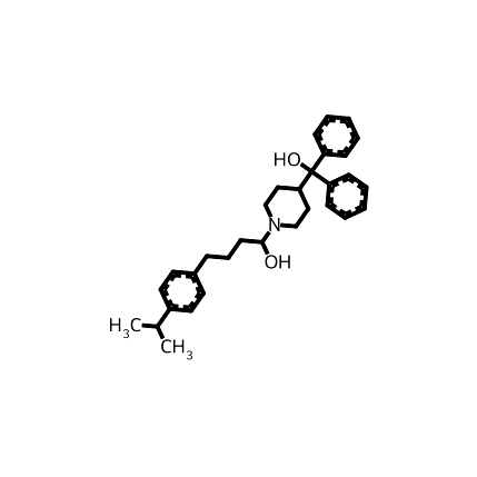 CC(C)c1ccc(CCCC(O)N2CCC(C(O)(c3ccccc3)c3ccccc3)CC2)cc1